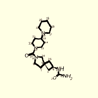 NC(=O)N[C@H]1C[C@]2(CCN(C(=O)N3CCC(N4CCCCC4)CC3)C2)C1